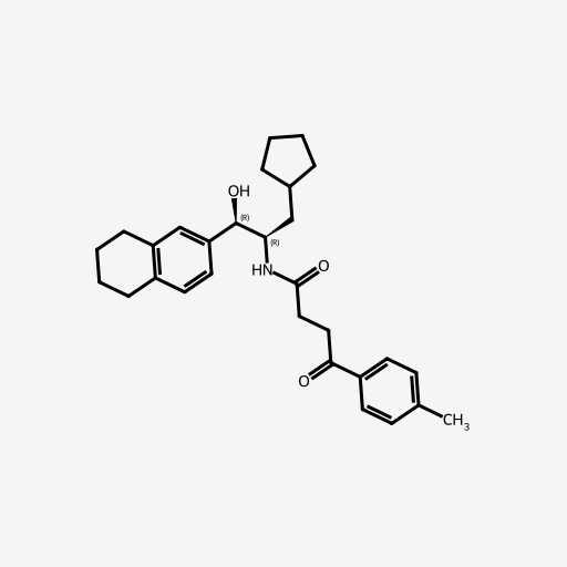 Cc1ccc(C(=O)CCC(=O)N[C@H](CC2CCCC2)[C@H](O)c2ccc3c(c2)CCCC3)cc1